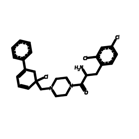 NC(Cc1ccc(Cl)cc1Cl)C(=O)N1CCN(CC2(Cl)C=CC=C(c3ccccc3)C2)CC1